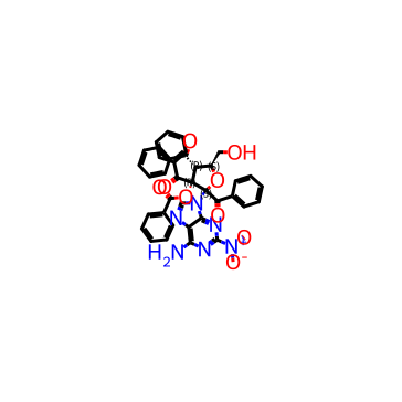 Nc1nc([N+](=O)[O-])nc2c1ncn2[C@]1(C(=O)c2ccccc2)O[C@H](CO)[C@@H](C(=O)c2ccccc2)[C@]1(OC(=O)c1ccccc1)C(=O)c1ccccc1